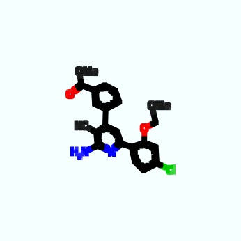 COCOc1cc(Cl)ccc1-c1cc(-c2cccc(C(=O)OC)c2)c(C#N)c(N)n1